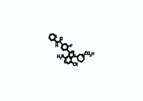 N#Cc1cnc(N)c2c(-c3ccc(C(=O)Nc4ccccn4)cc3F)nn(C3CCCN(C(=O)O)C3)c12